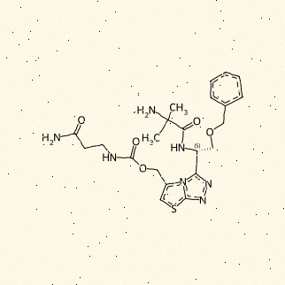 CC(C)(N)C(=O)N[C@H](COCc1ccccc1)c1nnc2scc(COC(=O)NCCC(N)=O)n12